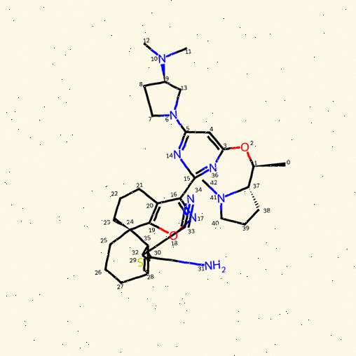 C[C@H](Oc1cc(N2CC[C@@H](N(C)C)C2)nc(-c2noc3c2CCC[C@@]32CCCc3sc(N)c(C#N)c32)n1)[C@@H]1CCCN1C